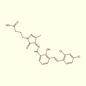 CC1=NN(CCCC(=O)O)C(=O)/C1=N\Nc1cccc(/C=C/c2ccc(Cl)cc2Cl)c1O